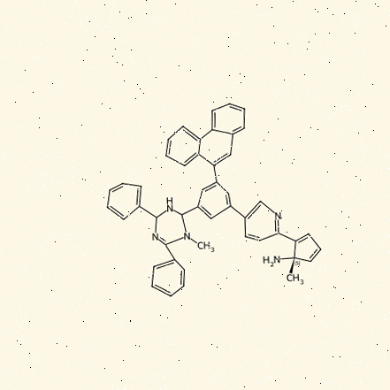 CN1C(c2ccccc2)=NC(c2ccccc2)NC1c1cc(-c2ccc(C3=CC=C[C@]3(C)N)nc2)cc(-c2cc3ccccc3c3ccccc23)c1